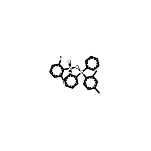 Cc1ccc(S(OS(=O)(=O)c2c(F)cccc2F)(c2ccccc2)c2ccccc2)c(C)c1